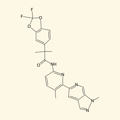 Cc1ccc(NC(=O)C(C)(C)c2ccc3c(c2)OC(F)(F)O3)nc1-c1cc2cnn(C)c2cn1